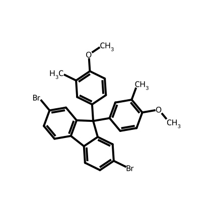 COc1ccc(C2(c3ccc(OC)c(C)c3)c3cc(Br)ccc3-c3ccc(Br)cc32)cc1C